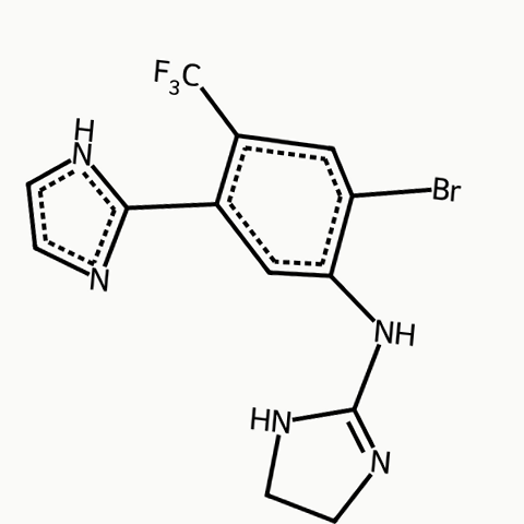 FC(F)(F)c1cc(Br)c(NC2=NCCN2)cc1-c1ncc[nH]1